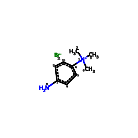 C[N+](C)(C)c1ccc(N)cc1.[Br-]